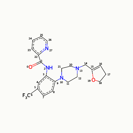 O=C(Nc1cc(C(F)(F)F)ccc1N1CCN(CC2=CCCO2)CC1)c1ccccn1